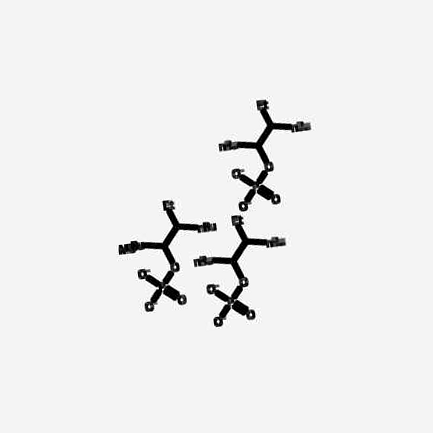 CCCCC(CC)C(CCCC)OP(=O)([O-])[O-].CCCCC(CC)C(CCCC)OP(=O)([O-])[O-].CCCCC(CC)C(CCCC)OP(=O)([O-])[O-].[Mo+6]